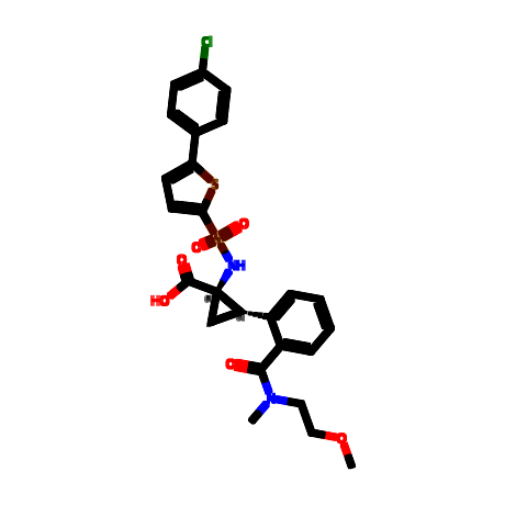 COCCN(C)C(=O)c1ccccc1[C@@H]1C[C@]1(NS(=O)(=O)c1ccc(-c2ccc(Cl)cc2)s1)C(=O)O